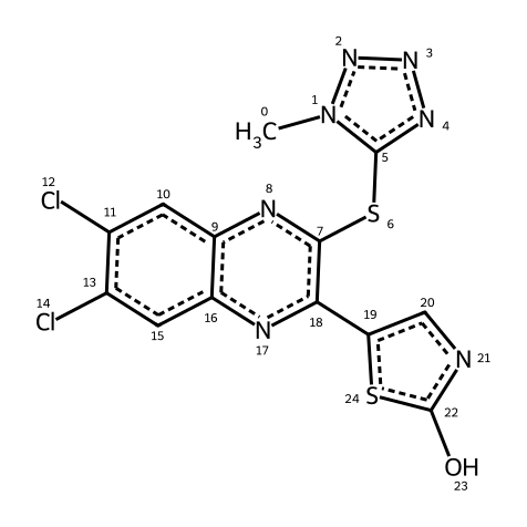 Cn1nnnc1Sc1nc2cc(Cl)c(Cl)cc2nc1-c1cnc(O)s1